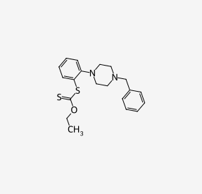 CCOC(=S)Sc1ccccc1N1CCN(Cc2ccccc2)CC1